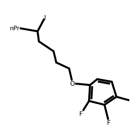 CCCC(I)CCCCOc1ccc(C)c(F)c1F